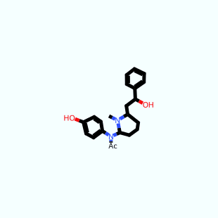 CC(=O)N(c1ccc(O)cc1)C1CCCC(CC(O)c2ccccc2)N1C